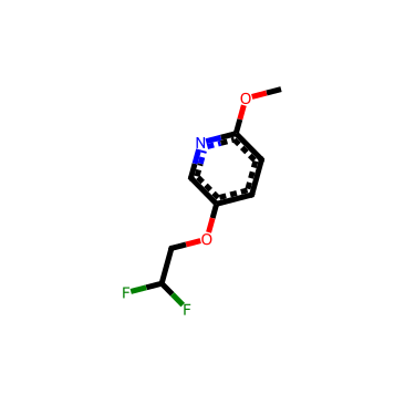 COc1ccc(OCC(F)F)cn1